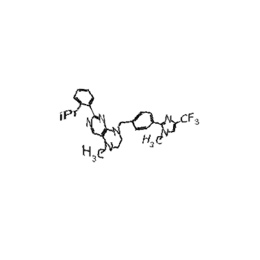 CC(C)c1ccccc1-c1ncc2c(n1)N(Cc1ccc(-c3nc(C(F)(F)F)cn3C)cc1)CCN2C